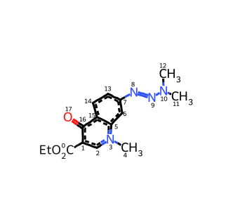 CCOC(=O)c1cn(C)c2cc(N=NN(C)C)ccc2c1=O